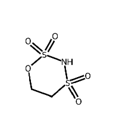 O=S1(=O)CCOS(=O)(=O)N1